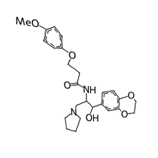 COc1ccc(OCCC(=O)NC(CN2CCCC2)C(O)c2ccc3c(c2)OCCO3)cc1